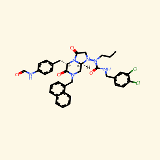 CCCN(C(=O)NCc1ccc(Cl)c(Cl)c1)N1CC(=O)N2[C@@H](Cc3ccc(NC=O)cc3)C(=O)N(Cc3cccc4ccccc34)C[C@@H]21